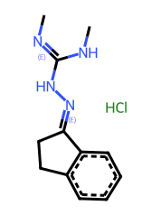 C/N=C(\NC)N/N=C1\CCc2ccccc21.Cl